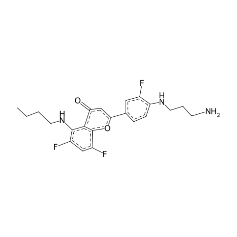 CCCCNc1c(F)cc(F)c2oc(-c3ccc(NCCCN)c(F)c3)cc(=O)c12